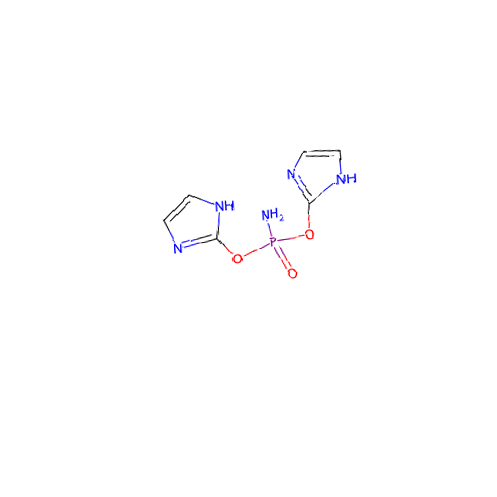 NP(=O)(Oc1ncc[nH]1)Oc1ncc[nH]1